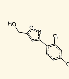 OCc1cc(-c2ccc(Cl)cc2Cl)no1